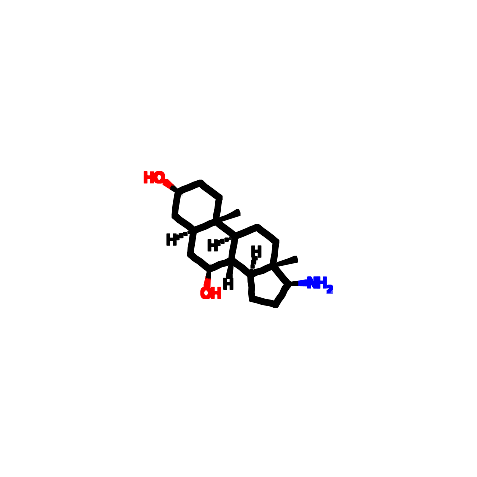 C[C@]12CC[C@H](O)C[C@@H]1C[C@H](O)[C@@H]1[C@@H]2CC[C@]2(C)[C@@H](N)CC[C@@H]12